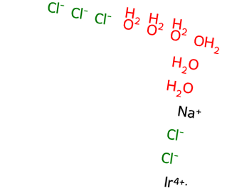 O.O.O.O.O.O.[Cl-].[Cl-].[Cl-].[Cl-].[Cl-].[Ir+4].[Na+]